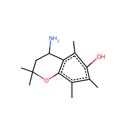 Cc1c(C)c2c(c(C)c1O)C(N)CC(C)(C)O2